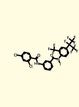 O=C(Nc1cccc(C(=O)N(I)c2ccc(C(F)(C(F)(F)F)C(F)(F)F)cc2C(F)(F)F)c1)c1ccc(Cl)cc1Cl